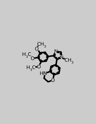 COc1cc(-c2ncn(C)c2-c2ccc3c(c2)NCCO3)cc(OC)c1OC